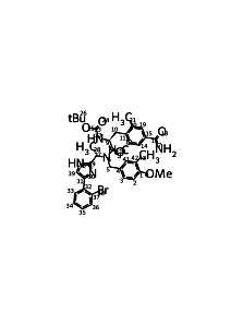 COc1ccc(CN(C(=O)[C@H](Cc2c(C)cc(C(N)=O)cc2C)NC(=O)OC(C)(C)C)[C@@H](C)c2nc(-c3ccccc3Br)c[nH]2)cc1C